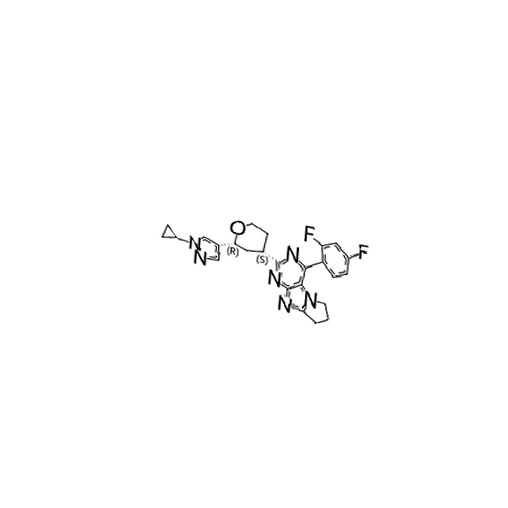 Fc1ccc(-c2nc([C@H]3CCO[C@@H](c4cnn(C5CC5)c4)C3)nc3nc4n(c23)CCC4)c(F)c1